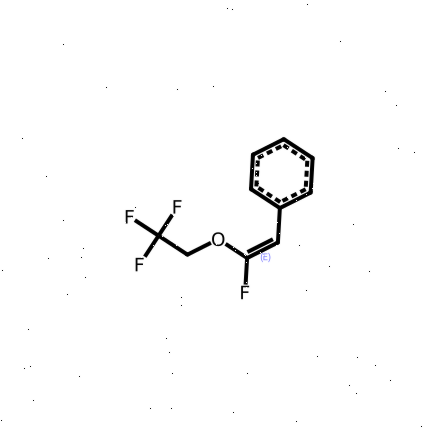 F/C(=C/c1ccccc1)OCC(F)(F)F